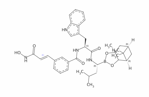 CC(C)C[C@H](NC(=O)[C@H](Cc1c[nH]c2ccccc12)NC(=O)c1cccc(/C=C/C(=O)NO)c1)B1OC2[C@@H]3C[C@H](C[C@]2(C)O1)C3(C)C